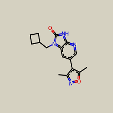 Cc1noc(C)c1-c1cnc2[nH]c(=O)n(CC3CCC3)c2c1